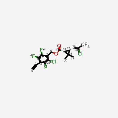 C#Cc1c(F)c(F)c(COC(=O)[C@@H]2[C@H](/C=C(\Cl)C(F)(F)F)C2(C)C)c(Cl)c1F